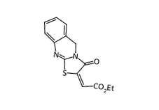 CCOC(=O)/C=c1/sc2n(c1=O)Cc1ccccc1N=2